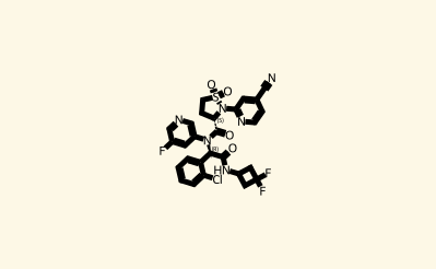 N#Cc1ccnc(N2[C@H](C(=O)N(c3cncc(F)c3)[C@@H](C(=O)NC3CC(F)(F)C3)c3ccccc3Cl)CCS2(=O)=O)c1